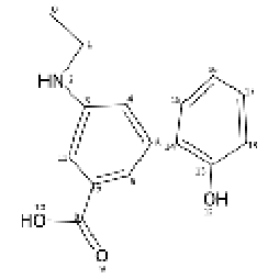 CCNc1cccc(C(=O)O)c1.Oc1ccccc1